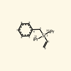 C=C[Si](Cc1ccccc1)(C(C)C)C(C)C